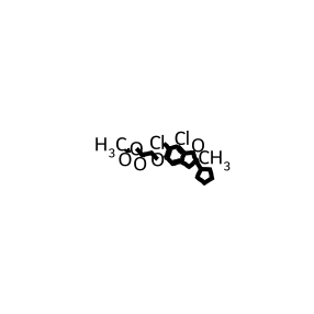 CC(=O)OC(=O)COc1cc2c(c(Cl)c1Cl)C(=O)C(C)(C1CCCC1)C2